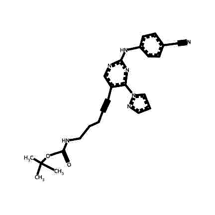 CC(C)(C)OC(=O)NCCCC#Cc1cnc(Nc2ccc(C#N)cc2)nc1-n1cccn1